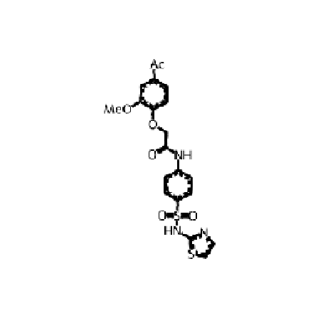 COc1cc(C(C)=O)ccc1OCC(=O)Nc1ccc(S(=O)(=O)Nc2nccs2)cc1